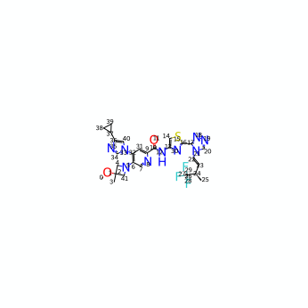 COC1(C)CN(c2cnc(C(=O)Nc3csc(-c4nncn4/C=C/[C@@H](C)C(F)(F)F)n3)cc2-n2cnc(C3CC3)c2)C1